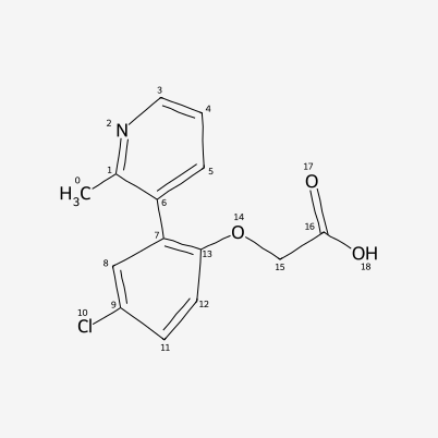 Cc1ncccc1-c1cc(Cl)ccc1OCC(=O)O